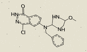 COC1CNC(N(Cc2ccccc2)c2ccc3c(=O)[nH]nc(Cl)c3c2)CN1